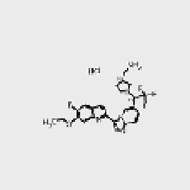 CCOc1cc2nc(-c3nnc4ccc([C@@H](N5CC[C@@H](CN)C5)C(F)(F)F)cn34)ccc2cc1F.Cl